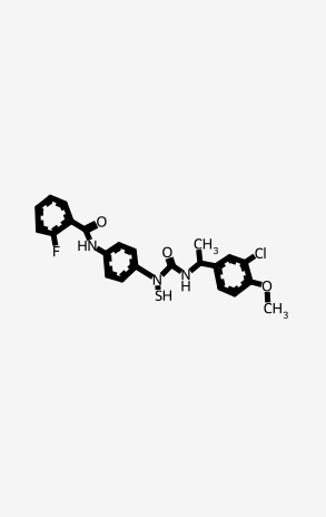 COc1ccc(C(C)NC(=O)N(S)c2ccc(NC(=O)c3ccccc3F)cc2)cc1Cl